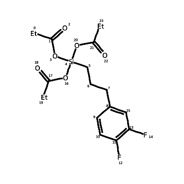 CCC(=O)O[Si](CCCc1ccc(F)c(F)c1)(OC(=O)CC)OC(=O)CC